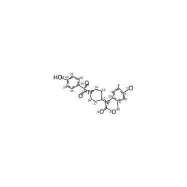 O=C1OCc2cc(Cl)ccc2N1C1CCN(S(=O)(=O)c2ccc(O)cc2)CC1